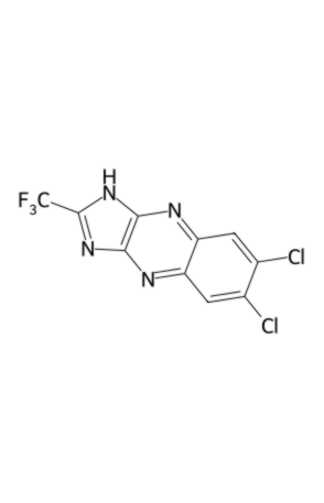 FC(F)(F)c1nc2nc3cc(Cl)c(Cl)cc3nc2[nH]1